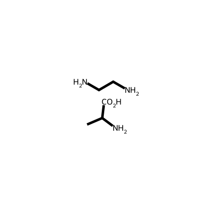 CC(N)C(=O)O.NCCN